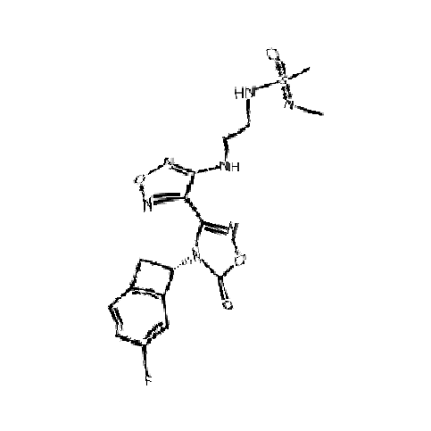 CN=S(C)(=O)NCCNc1nonc1-c1noc(=O)n1[C@H]1Cc2ccc(F)cc21